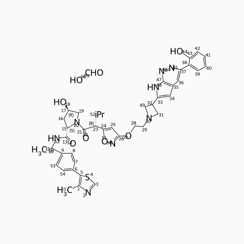 Cc1ncsc1-c1ccc([C@H](C)NC(=O)[C@@H]2C[C@@H](O)CN2C(=O)[C@@H](c2cc(OCCN3CC(c4cc5cc(-c6ccccc6O)nnc5[nH]4)C3)no2)C(C)C)cc1.O=CO